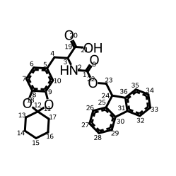 O=C(NC(Cc1ccc2c(c1)OC1(CCCCC1)O2)C(=O)O)OCC1c2ccccc2-c2ccccc21